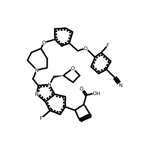 N#Cc1ccc(OCc2cccc(OC3CCN(Cc4nc5c(F)cc(C6C#CC6C(=O)O)cc5n4C[C@@H]4CCO4)CC3)c2)c(F)c1